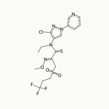 CCN(C(=S)C(CS(=O)(=O)CCC(F)(F)F)=NOC)c1cn(-c2cccnc2)nc1Cl